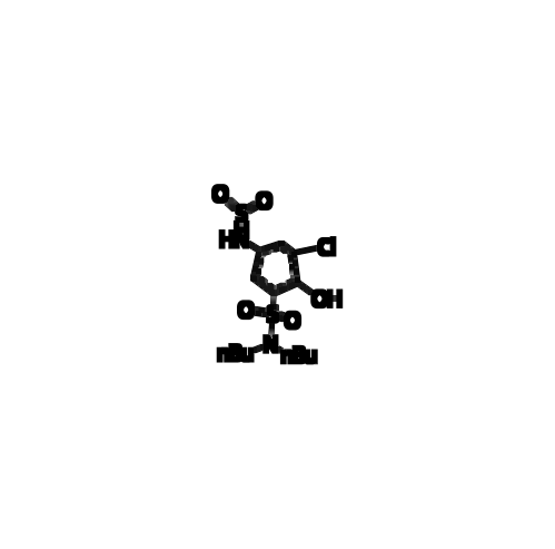 CCCCN(CCCC)S(=O)(=O)c1cc(N[SH](=O)=O)cc(Cl)c1O